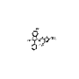 CCn1c(-c2ccccc2)c(/N=N/c2sc([N+](=O)[O-])c[n+]2C)c2ccccc21.[Br-]